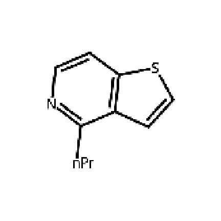 CCCc1nccc2sccc12